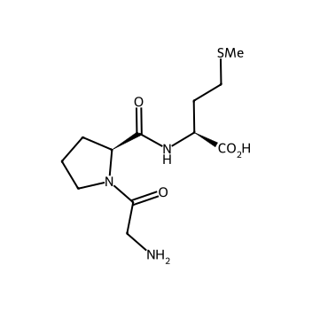 CSCC[C@H](NC(=O)[C@@H]1CCCN1C(=O)CN)C(=O)O